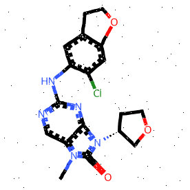 Cn1c(=O)n([C@@H]2CCOC2)c2nc(Nc3cc4c(cc3Cl)OCC4)ncc21